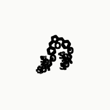 CC(CCOc1ccc(C=C2CCC(=Cc3ccc(OCCC(C)[Si](C)(O[Si](C)(C)C)O[Si](C)(C)C)cc3)C2=O)cc1)[Si](C)(O[Si](C)(C)C)O[Si](C)(C)C